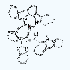 c1ccc(-c2nc(-c3cccc4c3sc3ccccc34)nc(-n3c4ccccc4c4ccc5c6ccccc6n(-c6ccc(-c7nc8ccccc8o7)cc6)c5c43)n2)cc1